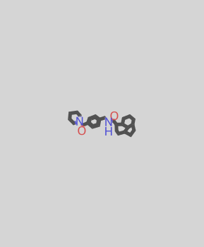 O=C(NCc1ccc(C(=O)N2CCCCC2)cc1)C1CCC2CCC3CCCC1C32